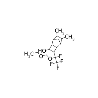 CCOCOC(F)(C1C(O)C2C3CC(C(C)C3C)C21)C(F)(F)F